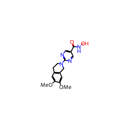 COc1cc2c(cc1OC)CN(c1ncc(C(=O)NO)cn1)CC2